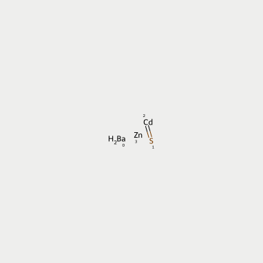 [BaH2].[S]=[Cd].[Zn]